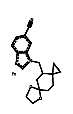 N#Cc1ccc2ncn(CC3CC4(CCC35CC5)OCCO4)c2c1.[Fe]